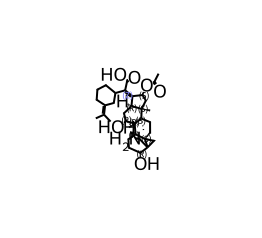 CC(=O)O[C@H]1C[C@@]2(C)[C@@H](C[C@@H](O)[C@@H]3[C@]2(C)CC[C@@]24CC2(CN)[C@H](O)CC[C@]34C)/C1=C(/C(=O)O)C1CCCC(=C(C)C)C1